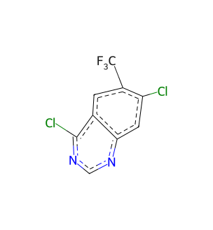 FC(F)(F)c1cc2c(Cl)ncnc2cc1Cl